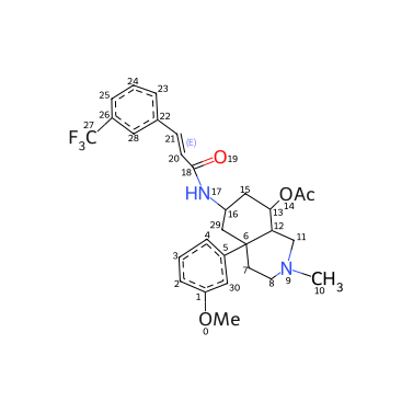 COc1cccc(C23CCN(C)CC2C(OC(C)=O)CC(NC(=O)/C=C/c2cccc(C(F)(F)F)c2)C3)c1